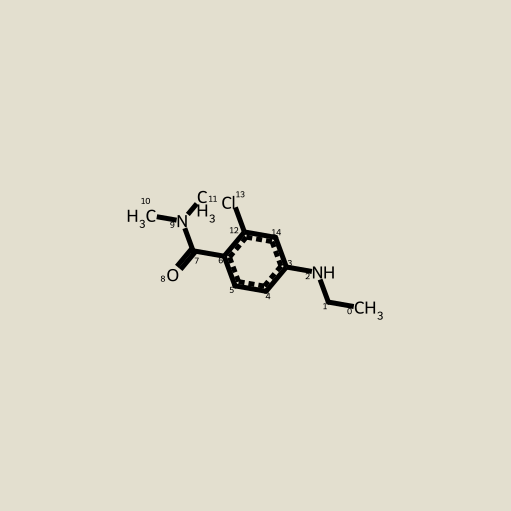 CCNc1ccc(C(=O)N(C)C)c(Cl)c1